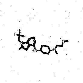 COCCN(C)[C@H]1CC[C@@H](Nc2cccc3c2cc(C)n3CC(F)(F)F)CC1